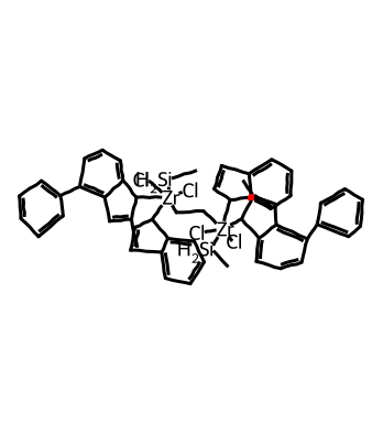 C[SiH2][Zr]([Cl])([Cl])([CH2][CH2][Zr]([Cl])([Cl])([SiH2]C)([CH]1C=Cc2ccccc21)[CH]1C(C)=Cc2c(-c3ccccc3)cccc21)([CH]1C=Cc2ccccc21)[CH]1C(C)=Cc2c(-c3ccccc3)cccc21